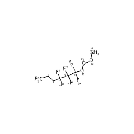 FC(F)(F)CCC(F)(F)C(F)(F)C(F)(F)OOO[SiH3]